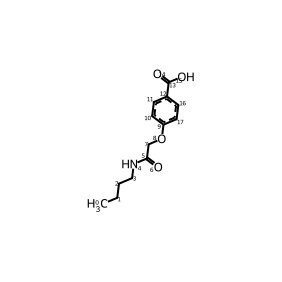 CCCCNC(=O)COc1ccc(C(=O)O)cc1